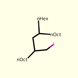 CCCCCCCCC(CI)CC(CCCCCC)CCCCCCCC